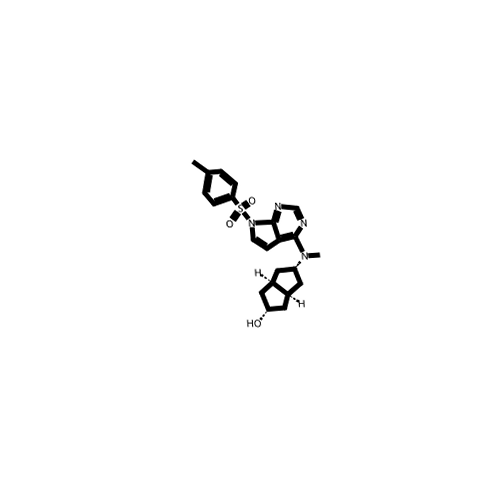 Cc1ccc(S(=O)(=O)n2ccc3c(N(C)[C@@H]4C[C@H]5C[C@H](O)C[C@H]5C4)ncnc32)cc1